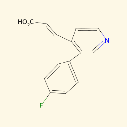 O=C(O)C=Cc1ccncc1-c1ccc(F)cc1